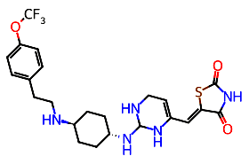 O=C1NC(=O)/C(=C/C2=CCNC(N[C@H]3CC[C@H](NCCc4ccc(OC(F)(F)F)cc4)CC3)N2)S1